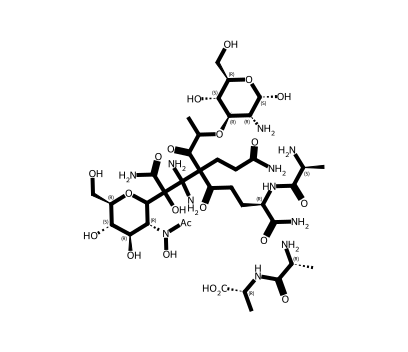 CC(=O)N(O)[C@H]1C(C(O)(C(N)=O)C(N)(N)C(CCC(N)=O)(C(=O)CC[C@@H](NC(=O)[C@H](C)N)C(N)=O)C(=O)C(C)O[C@@H]2[C@@H](N)[C@@H](O)O[C@H](CO)[C@H]2O)O[C@H](CO)[C@@H](O)[C@@H]1O.C[C@@H](N)C(=O)N[C@H](C)C(=O)O